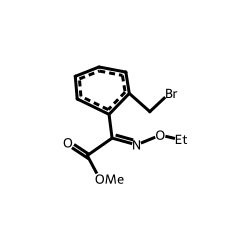 CCO/N=C(/C(=O)OC)c1ccccc1CBr